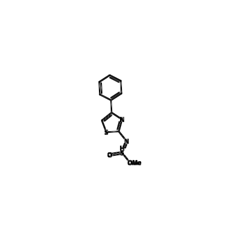 CO[SH](=O)=Nc1nc(-c2ccccc2)cs1